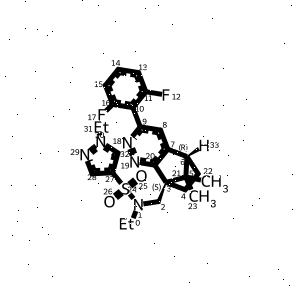 CCN(C[C@@]12CC[C@@H](c3cc(-c4c(F)cccc4F)nnc31)C2(C)C)S(=O)(=O)c1cnn(CC)c1